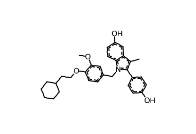 COc1cc(Cn2c(-c3ccc(O)cc3)c(C)c3cc(O)ccc32)ccc1OCCC1CCCCC1